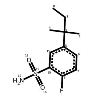 CCC(C)(C)c1ccc(F)c(S(N)(=O)=O)c1